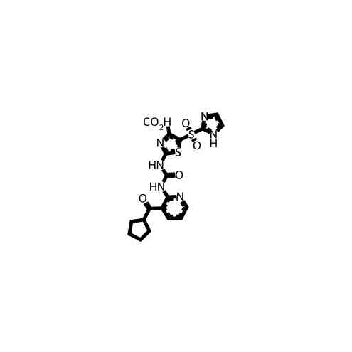 O=C(Nc1nc(C(=O)O)c(S(=O)(=O)c2ncc[nH]2)s1)Nc1ncccc1C(=O)C1CCCC1